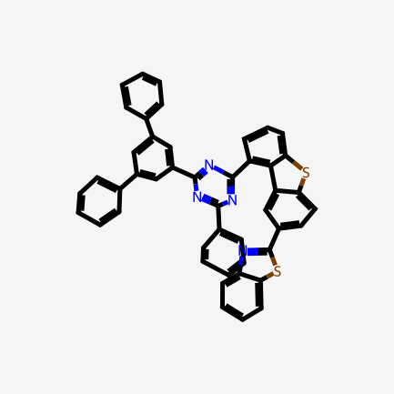 c1ccc(-c2cc(-c3ccccc3)cc(-c3nc(-c4ccccc4)nc(-c4cccc5sc6ccc(-c7nc8ccccc8s7)cc6c45)n3)c2)cc1